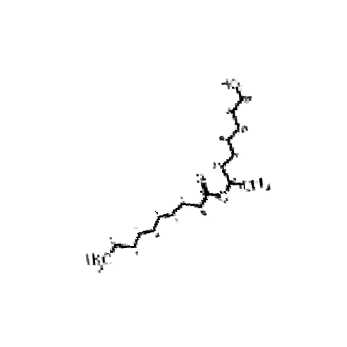 CCCCCCCCCC(=O)OC(C)CCCCCCO